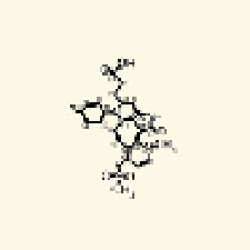 CN1C=CC(CS(C)(=O)=O)=c2ccc3c4c([nH]c(=O)c-4c21)=CC(CCC(=O)O)N3c1ccc(F)cc1